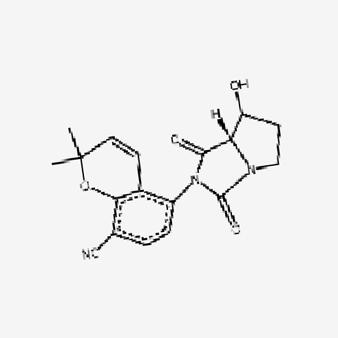 CC1(C)C=Cc2c(N3C(=O)[C@@H]4C(O)CCN4C3=O)ccc(C#N)c2O1